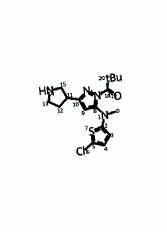 CN(c1ccc(Cl)s1)c1cc(C2CCNC2)nn1C(=O)C(C)(C)C